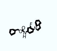 O=C(Nc1ccc(-n2ccc3ccccc32)c(F)c1)OCc1ccccc1